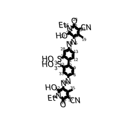 CCn1c(O)c(N=Nc2ccc(-c3ccc(N=Nc4c(C)c(C#N)c(=O)n(CC)c4O)cc3S(=O)(=O)O)c(S(=O)(=O)O)c2)c(C)c(C#N)c1=O